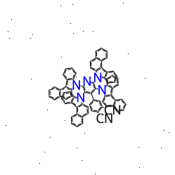 N#Cc1ccc(-c2c(-n3c4ccccc4c4c5ccccc5ccc43)c(-n3c4ccccc4c4c5ccccc5ccc43)nc(-n3c4ccccc4c4c5ccccc5ccc43)c2-n2c3ccccc3c3c4ccccc4ccc32)cc1C#N